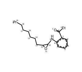 CCC(=O)c1ccccc1NC1OC1CCCCCCC(C)C